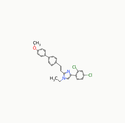 CCn1cc(-c2ccc(Cl)cc2Cl)nc1C=Cc1ccc(-c2ccc(OC)cc2)cc1